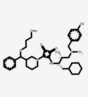 COCCCOC(c1ccccc1)C1CCCN(c2c(N[C@@H](CC3CCCCC3)[C@H](O)CN(C)Cc3ccc(C#N)cc3)c(=O)c2=O)C1